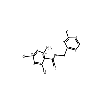 Cc1cccc(CNC(=O)c2c(N)cc(Cl)cc2Cl)c1